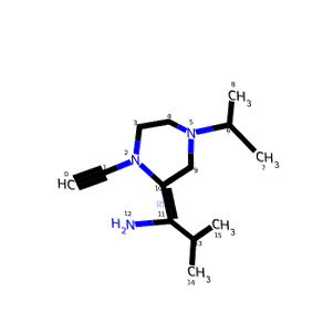 C#CN1CCN(C(C)C)C/C1=C(/N)C(C)C